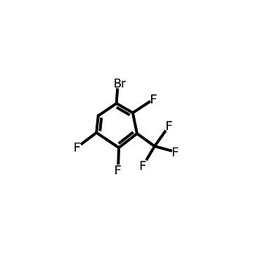 Fc1cc(Br)c(F)c(C(F)(F)F)c1F